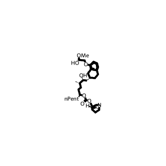 CCCCC[C@@H](CC[C@H](C)[C@H](O)C[C@H]1CCc2cccc(OCC(O)OC)c2C1)OC(=O)O[C@@H]1CN2CCC1CC2